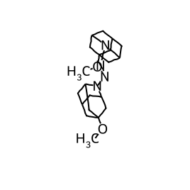 COC12CC3CC(C1)N(N=NN1C4CC5CC1CC(OC)(C5)C4)C(C3)C2